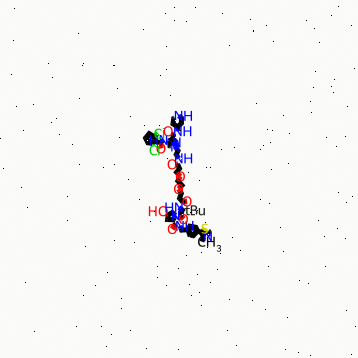 Cc1ncsc1-c1ccc(CNC(=O)[C@@H]2C[C@@H](O)CN2C(=O)[C@@H](NC(=O)CCOCCOCCC(=O)NCCn2cc(NC(=O)c3c(Cl)cccc3Cl)c(C(=O)NC3CCNCC3)n2)C(C)(C)C)cc1